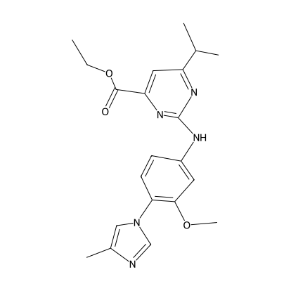 CCOC(=O)c1cc(C(C)C)nc(Nc2ccc(-n3cnc(C)c3)c(OC)c2)n1